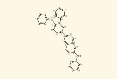 c1ccc(Nc2ccc3cc(-c4ccc5c(c4)c4ccccc4n5-c4ccccc4)ccc3c2)cc1